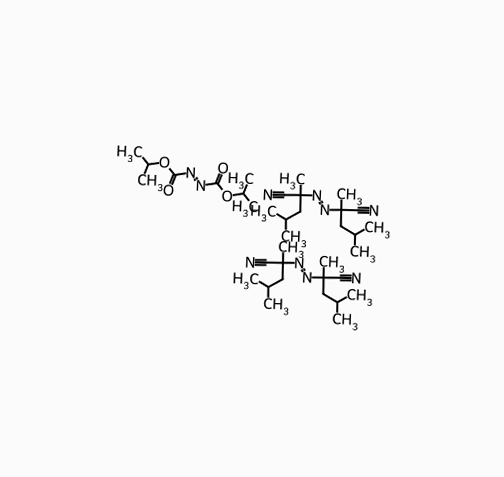 CC(C)CC(C)(C#N)N=NC(C)(C#N)CC(C)C.CC(C)CC(C)(C#N)N=NC(C)(C#N)CC(C)C.CC(C)OC(=O)N=NC(=O)OC(C)C